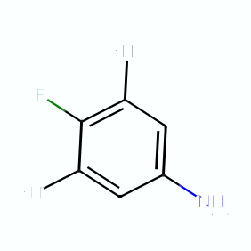 [2H]c1cc(N)cc([2H])c1F